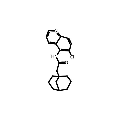 O=C(CC12CCCC(CCC1)C2)Nc1c(Cl)ccc2ncccc12